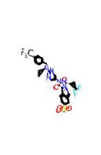 CS(=O)(=O)c1ccc2c(c1)CN(C(=O)[C@@H]1CC1(F)F)[C@H]2C(=O)Nc1cnc(N(Cc2ccc(C(F)(F)F)cc2)C2CC2)nc1